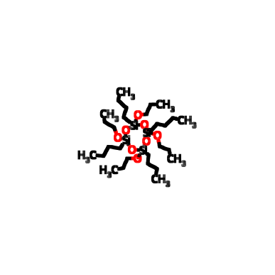 CCCC[Si]1(OCCC)O[Si](CCCC)(OCCC)O[Si](CCCC)(OCCC)O[Si](CCCC)(OCCC)O1